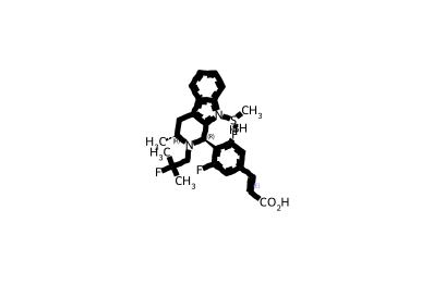 C[C@@H]1Cc2c(n([SH](C)S)c3ccccc23)[C@@H](c2c(F)cc(/C=C/C(=O)O)cc2F)N1CC(C)(C)F